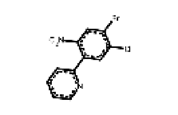 O=[N+]([O-])c1cc(Br)c(Cl)cc1-c1ccccn1